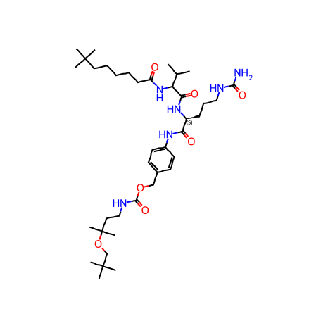 CC(C)C(NC(=O)CCCCCC(C)(C)C)C(=O)N[C@@H](CCCNC(N)=O)C(=O)Nc1ccc(COC(=O)NCCC(C)(C)OCC(C)(C)C)cc1